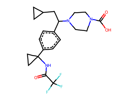 O=C(O)N1CCN(C(CC2CC2)c2ccc(C3(NC(=O)C(F)(F)F)CC3)cc2)CC1